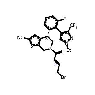 CCn1cc(-c2c(F)cccc2[C@@H]2CN(C(=O)/C=C/CBr)Cc3sc(C#N)cc32)c(C(F)(F)F)n1